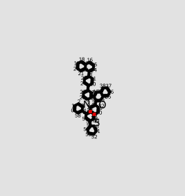 c1ccc(N(c2ccc(-c3ccc(-c4cccc5ccccc45)cc3)cc2)c2cccc3oc4c5ccccc5ccc4c23)c(-c2ccc3sc4ccccc4c3c2)c1